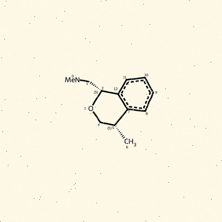 CNC[C@H]1OC[C@@H](C)c2ccccc21